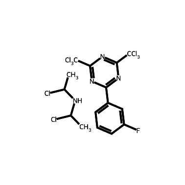 CC(Cl)NC(C)Cl.Fc1cccc(-c2nc(C(Cl)(Cl)Cl)nc(C(Cl)(Cl)Cl)n2)c1